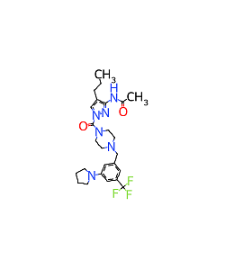 CCCc1cn(C(=O)N2CCN(Cc3cc(N4CCCC4)cc(C(F)(F)F)c3)CC2)nc1NC(C)=O